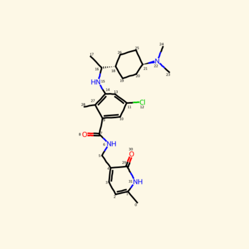 Cc1ccc(CNC(=O)c2cc(Cl)cc(NC(C)[C@H]3CC[C@H](N(C)C)CC3)c2C)c(=O)[nH]1